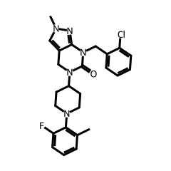 Cc1cccc(F)c1N1CCC(N2Cc3cn(C)nc3N(Cc3ccccc3Cl)C2=O)CC1